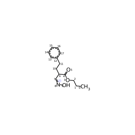 CCCOC(=O)C(/C=N\O)CCc1ccccc1